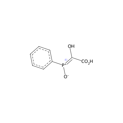 O=C(O)/C(O)=[P+](\[O-])c1ccccc1